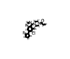 C=CC(=O)N1CCN(c2ncnc3cc(C4C=CC=C4F)c(Cl)c(F)c23)CC1